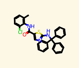 Cc1cccc(Cl)c1NC(=O)c1cnc(NC(c2ccccc2)(c2ccccc2)c2ccccc2)s1